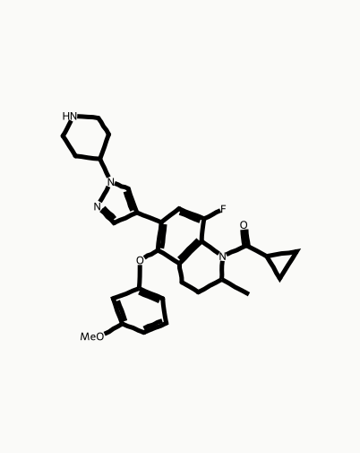 COc1cccc(Oc2c(-c3cnn(C4CCNCC4)c3)cc(F)c3c2CCC(C)N3C(=O)C2CC2)c1